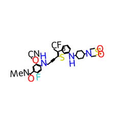 CNC(=O)c1cc(OCC#N)c(NCC#Cc2sc3c(NC4CCC(N5CCS(=O)(=O)CC5)CC4)cccc3c2CC(F)(F)F)cc1F